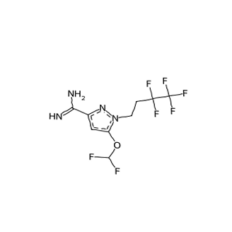 N=C(N)c1cc(OC(F)F)n(CCC(F)(F)C(F)(F)F)n1